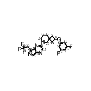 Fc1cc(F)cc(OC2CC3(CCCN(c4cnc5cnn(CC(F)(F)F)c5n4)C3)C2)c1